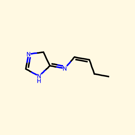 CC/C=C\N=C1/CN=CN1